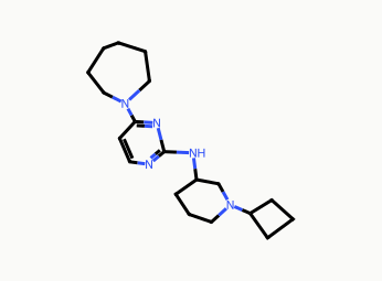 c1cc(N2CCCCCC2)nc(NC2CCCN(C3CCC3)C2)n1